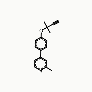 C#CC(C)(C)Oc1ccc(-c2ccnc(C)c2)cc1